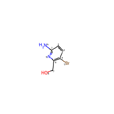 Nc1ccc(Br)c(CO)n1